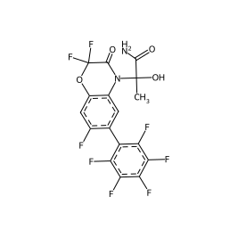 CC(O)(C(N)=O)N1C(=O)C(F)(F)Oc2cc(F)c(-c3c(F)c(F)c(F)c(F)c3F)cc21